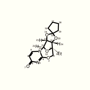 CC[C@]12COc3nc(=O)ccn3[C@H](O1)[C@@H]1OC3(CCCC3)O[C@@H]12